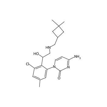 Cc1cc(Cl)c(C(O)CNCC2CC(C)(C)C2)c(-n2ccc(N)nc2=O)c1